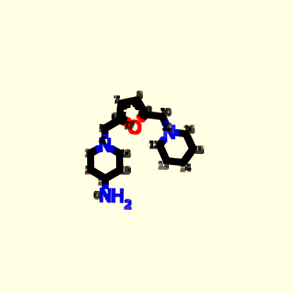 NC1CCN(Cc2ccc(CN3CCCCC3)o2)CC1